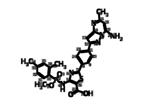 COP(=O)(Nc1nc(-c2ccc(-c3cc4nc(C)cc(N)n4n3)cc2)sc1C(=O)O)c1ccc(C)cc1C